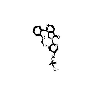 CC(C)(O)COc1ccc(N2Cc3c(ccnc3-c3ccccc3OCC(F)(F)F)C2=O)nc1